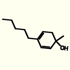 CCCCCC1=CCC(C)(O)C=C1